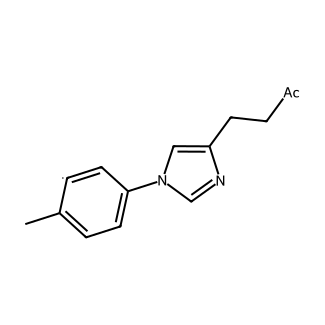 CC(=O)CCc1cn(-c2c[c]c(C)cc2)cn1